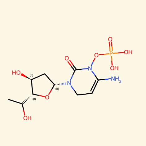 CC(O)[C@H]1O[C@@H](N2CC=C(N)N(OP(=O)(O)O)C2=O)C[C@@H]1O